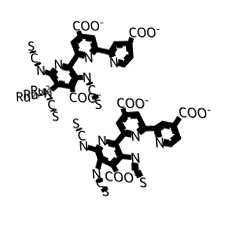 O=C([O-])c1ccnc(-c2cc(C(=O)[O-])cc(-c3nc(N=C=S)c(N=C=S)c(C(=O)[O-])c3N=C=S)n2)c1.O=C([O-])c1ccnc(-c2cc(C(=O)[O-])cc(-c3nc(N=C=S)c(N=C=S)c(C(=O)[O-])c3N=C=S)n2)c1.[Ru+2].[Ru+2].[Ru+2]